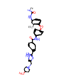 CC(C)NC(=O)Nc1ccc(Oc2ccc(NC(=O)c3ccc(-c4nc(CN5CCC(O)CC5)c[nH]4)cc3)cc2)c(C(=O)O)c1